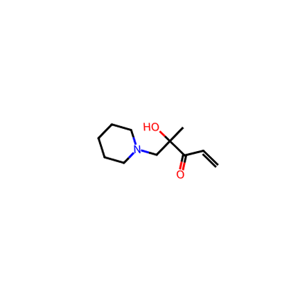 C=CC(=O)C(C)(O)CN1CCCCC1